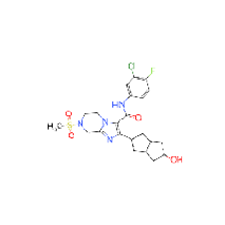 CS(=O)(=O)N1CCn2c(nc(C3CC4CC(O)CC4C3)c2C(=O)Nc2ccc(F)c(Cl)c2)C1